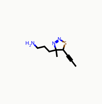 CC#CC1SN=NC1(C)CCCN